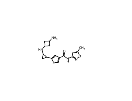 Cc1cc(NC(=O)c2csc(C3CC3NC3CC(N)C3)c2)no1